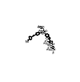 COc1c(NC(=O)c2ccc(-c3cc4ccc(NC(=O)[C@H](Cc5cnn[nH]5)NC(=O)c5ccc(C#Cc6ccc(C#N)cc6)cc5)cc4o3)c(OC)c2O)ccc(C(=O)O)c1O